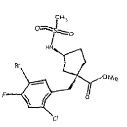 COC(=O)[C@@]1(Cc2cc(Br)c(F)cc2Cl)CC[C@H](NS(C)(=O)=O)C1